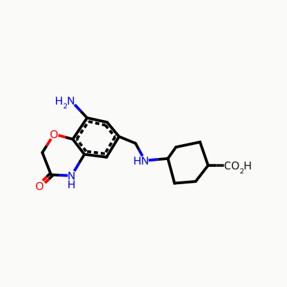 Nc1cc(CNC2CCC(C(=O)O)CC2)cc2c1OCC(=O)N2